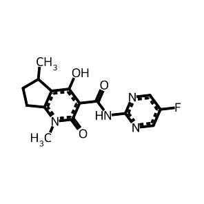 CC1CCc2c1c(O)c(C(=O)Nc1ncc(F)cn1)c(=O)n2C